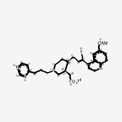 COc1ccc2nccc(C(F)CC[C@@H]3CCN(CCCc4ccncn4)C[C@@H]3CC(=O)O)c2c1